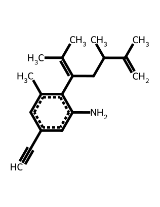 C#Cc1cc(C)c(C(CC(C)C(=C)C)=C(C)C)c(N)c1